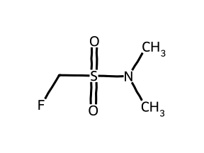 CN(C)S(=O)(=O)CF